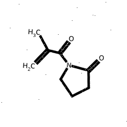 C=C(C)C(=O)N1CCCC1=O